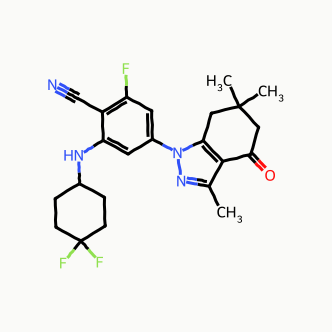 Cc1nn(-c2cc(F)c(C#N)c(NC3CCC(F)(F)CC3)c2)c2c1C(=O)CC(C)(C)C2